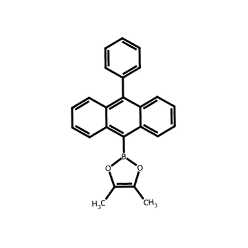 CC1=C(C)OB(c2c3ccccc3c(-c3ccccc3)c3ccccc23)O1